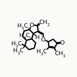 C=C1O[C@]2(C)CCC3C(C)(C)CCC[C@]3(C)[C@H]2/C1=C\OC1CC(=O)C(C)=C1C